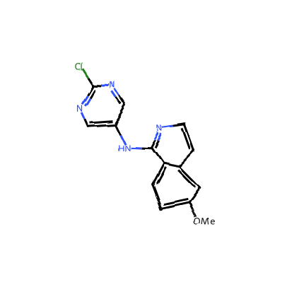 COc1ccc2c(Nc3cnc(Cl)nc3)nccc2c1